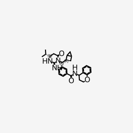 CC(C)[C@@H]1CC(=O)N([C@@H](c2cccc(C(=O)NC3CCOc4ccccc43)c2)[C@@H]2CC3CC32)C(=N)N1